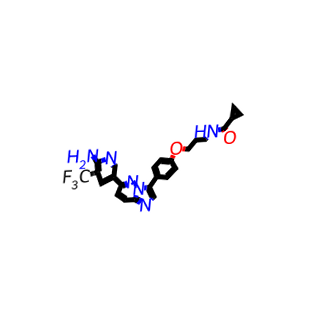 Nc1ncc(-c2ccc3ncc(-c4ccc(OCCCNC(=O)C5CC5)cc4)n3n2)cc1C(F)(F)F